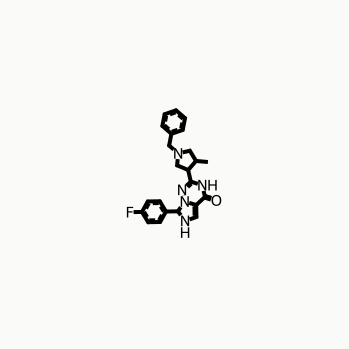 CC1CN(Cc2ccccc2)CC1C1=NN2C(=CNC2c2ccc(F)cc2)C(=O)N1